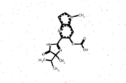 CC(C)C1(C)N=C(c2nc3ccn(C)c3cc2OC(=O)O)NC1=O